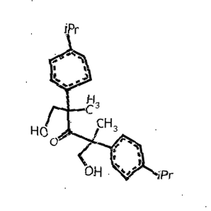 CC(C)c1ccc(C(C)(CO)C(=O)C(C)(CO)c2ccc(C(C)C)cc2)cc1